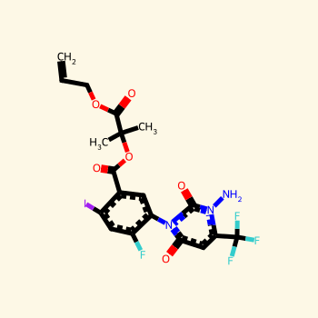 C=CCOC(=O)C(C)(C)OC(=O)c1cc(-n2c(=O)cc(C(F)(F)F)n(N)c2=O)c(F)cc1I